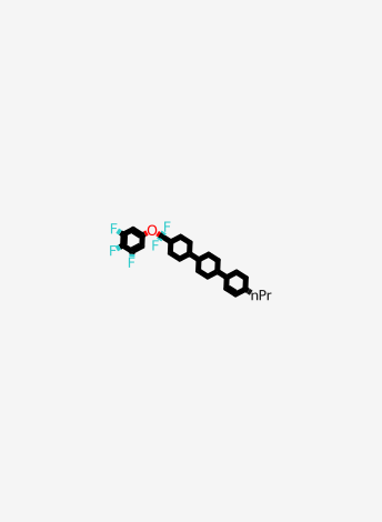 CCCC1C=CC(C2CCC(C3CCC(C(F)(F)Oc4cc(F)c(F)c(F)c4)CC3)CC2)CC1